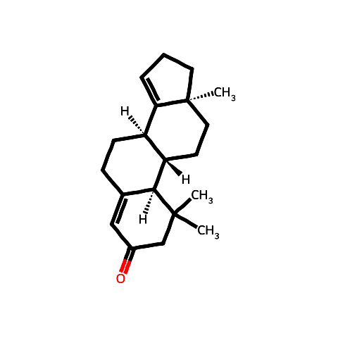 CC1(C)CC(=O)C=C2CC[C@H]3C4=CCC[C@@]4(C)CC[C@@H]3[C@H]21